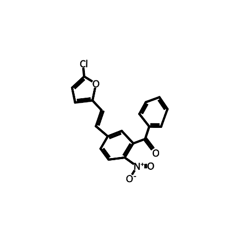 O=C(c1ccccc1)c1cc(C=Cc2ccc(Cl)o2)ccc1[N+](=O)[O-]